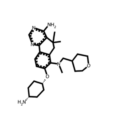 CN(CC1CCOCC1)c1c(O[C@H]2CC[C@@H](N)CC2)ccc2c1CC(C)(C)c1c(N)ncnc1-2